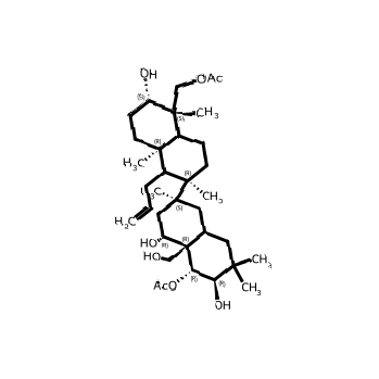 C=CCC1[C@@]2(C)CC[C@H](O)[C@](C)(COC(C)=O)C2CC[C@@]1(C)[C@@]1(C)CC2CC(C)(C)[C@@H](O)[C@H](OC(C)=O)[C@]2(CO)[C@H](O)C1